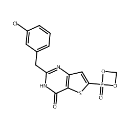 O=c1[nH]c(Cc2cccc(Cl)c2)nc2cc(P3(=O)OCO3)sc12